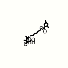 Cc1c(C)n(CCCCCCOC(=O)C2CC(C)CC2C)c(=O)[nH]c1=O